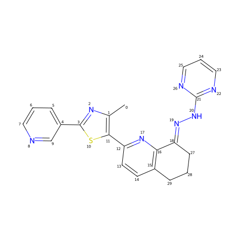 Cc1nc(-c2cccnc2)sc1-c1ccc2c(n1)/C(=N/Nc1ncccn1)CCC2